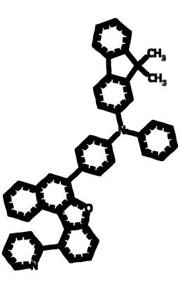 CC1(C)c2ccccc2-c2ccc(N(c3ccccc3)c3ccc(-c4cc5ccccc5c5c4oc4cccc(-c6ccccn6)c45)cc3)cc21